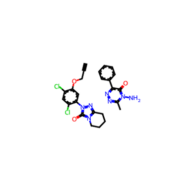 C#CCOc1cc(-n2nc3n(c2=O)CCCC3)c(Cl)cc1Cl.Cc1nnc(-c2ccccc2)c(=O)n1N